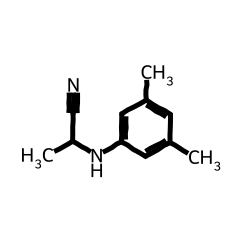 Cc1cc(C)cc(NC(C)C#N)c1